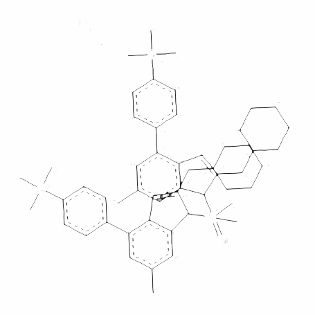 Cc1cc(-c2ccc([Si](C)(C)C)cc2)c2c(c1)[CH]([Zr]([CH3])([CH3])(=[SiH2])[CH]1C(CC3CCCCC3)=Cc3c(-c4ccc([Si](C)(C)C)cc4)cc(C)cc31)C(CC1CCCCC1)=C2.Cl.Cl